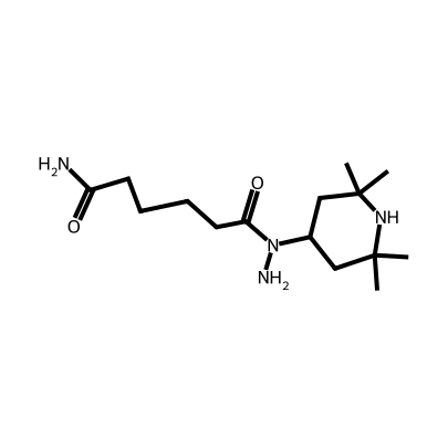 CC1(C)CC(N(N)C(=O)CCCCC(N)=O)CC(C)(C)N1